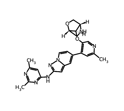 Cc1cc(-c2ccn3nc(Nc4cc(C)nc(C)n4)cc3c2)c(O[C@@H]2[C@@H]3CO[C@H]2CN3)cn1